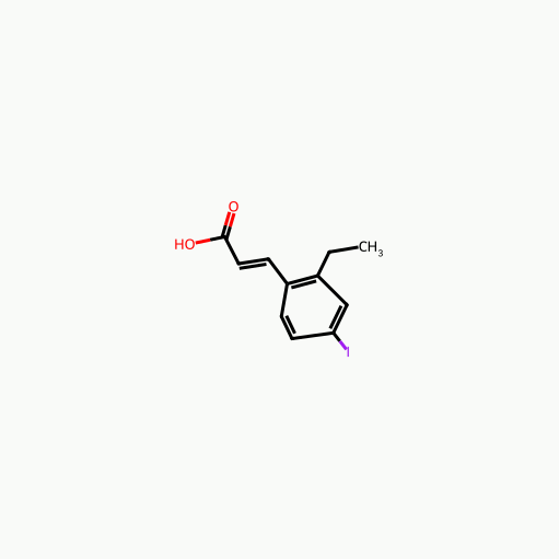 CCc1cc(I)ccc1C=CC(=O)O